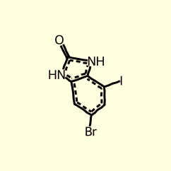 O=c1[nH]c2cc(Br)cc(I)c2[nH]1